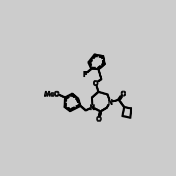 COc1ccc(CN2CC(OCc3ccccc3F)CN(C(=O)C3CCC3)CC2=O)cc1